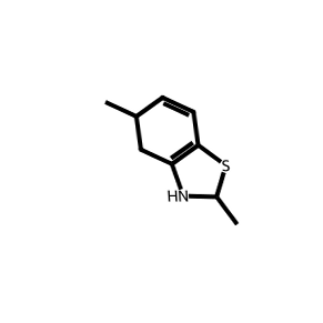 CC1C=CC2=C(C1)NC(C)S2